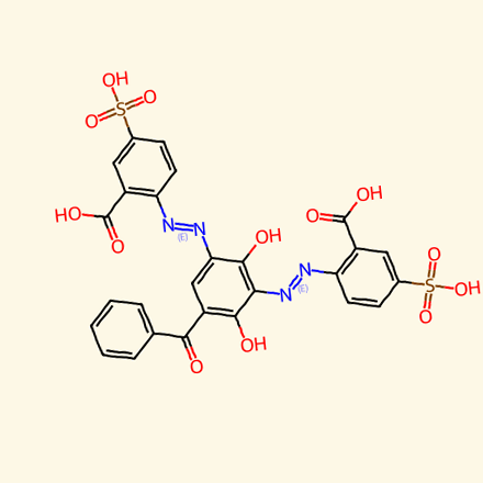 O=C(O)c1cc(S(=O)(=O)O)ccc1/N=N/c1cc(C(=O)c2ccccc2)c(O)c(/N=N/c2ccc(S(=O)(=O)O)cc2C(=O)O)c1O